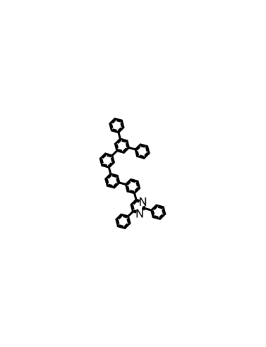 c1ccc(-c2cc(-c3ccccc3)cc(-c3cccc(-c4cccc(-c5cccc(-c6cc(-c7ccccc7)nc(-c7ccccc7)n6)c5)c4)c3)c2)cc1